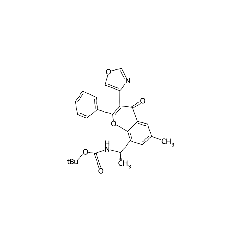 Cc1cc([C@@H](C)NC(=O)OC(C)(C)C)c2oc(-c3ccccc3)c(-c3cocn3)c(=O)c2c1